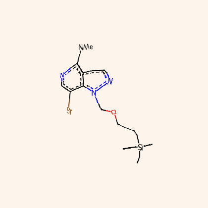 CNc1ncc(Br)c2c1cnn2COCC[Si](C)(C)C